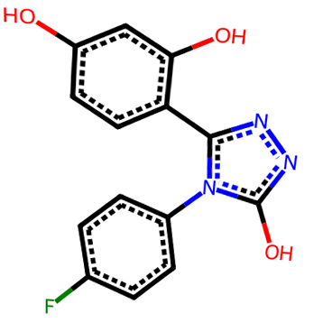 Oc1ccc(-c2nnc(O)n2-c2ccc(F)cc2)c(O)c1